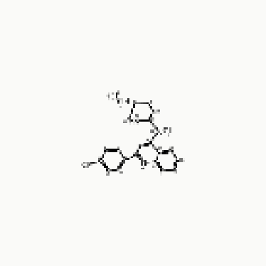 Cl.Cl.O[C@H](c1cc(-c2ccc(Cl)cc2)nc2ccccc12)C1CCCCN1